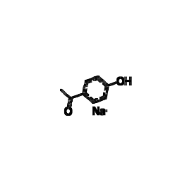 CC(=O)c1ccc(O)cc1.[Na]